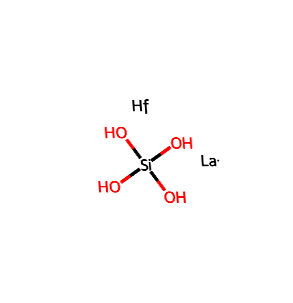 O[Si](O)(O)O.[Hf].[La]